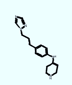 c1ncn(CCCc2ccc(NC3CCNCC3)cc2)n1